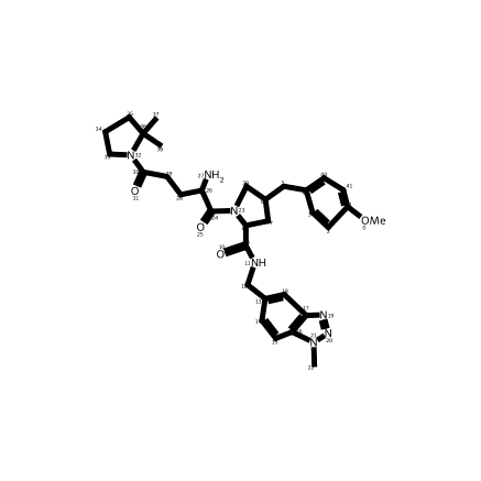 COc1ccc(CC2CC(C(=O)NCc3ccc4c(c3)nnn4C)N(C(=O)C(N)CCC(=O)N3CCCC3(C)C)C2)cc1